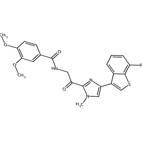 COc1ccc(C(=O)NCC(=O)c2nc(-c3csc4c(F)cccc34)cn2C)cc1OC